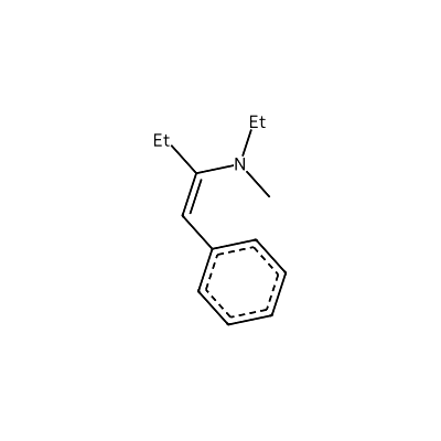 CCC(=Cc1ccccc1)N(C)CC